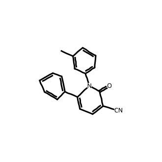 Cc1cccc(-n2c(-c3ccccc3)ccc(C#N)c2=O)c1